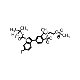 CC1c2cc(-c3cn(C(=O)OC(C)(C)C)c4cc(F)ccc34)ccc2S(=O)(=O)N1CCOS(C)(=O)=O